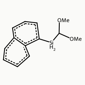 COC(OC)[SiH2]c1cccc2ccccc12